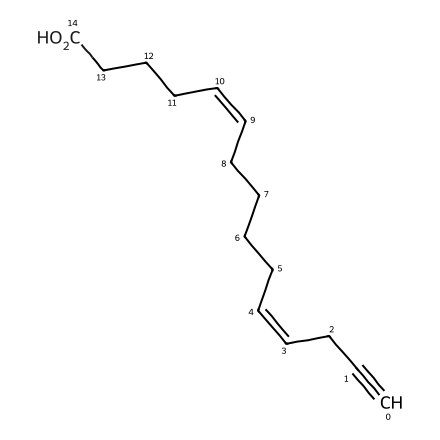 C#CC/C=C\CCCC/C=C\CCCC(=O)O